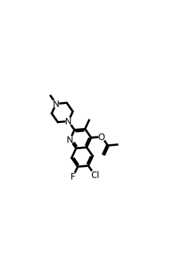 C=C(C)Oc1c(C)c(N2CCN(C)CC2)nc2cc(F)c(Cl)cc12